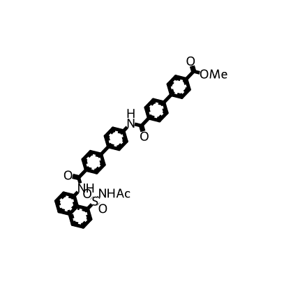 COC(=O)c1ccc(-c2ccc(C(=O)Nc3ccc(-c4ccc(C(=O)Nc5cccc6cccc(S(=O)(=O)NC(C)=O)c56)cc4)cc3)cc2)cc1